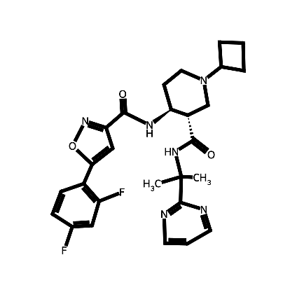 CC(C)(NC(=O)[C@H]1CN(C2CCC2)CC[C@@H]1NC(=O)c1cc(-c2ccc(F)cc2F)on1)c1ncccn1